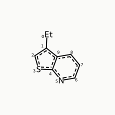 CCc1csc2ncccc12